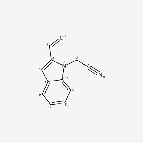 N#CCn1c(C=O)cc2ccccc21